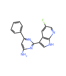 Nc1cc(-c2ccccc2)nc(-c2c[nH]c3ncc(F)cc23)n1